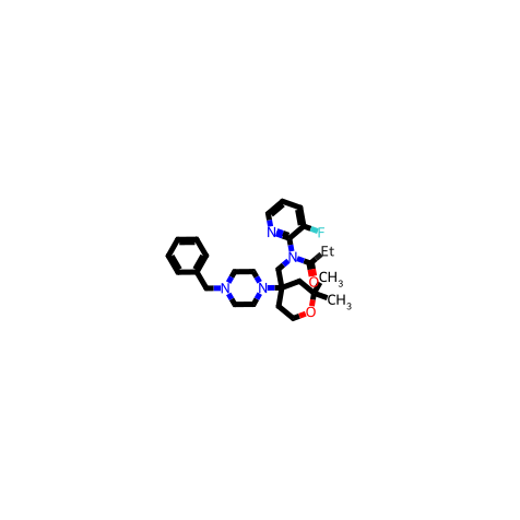 CCC(=O)N(CC1(N2CCN(Cc3ccccc3)CC2)CCOC(C)(C)C1)c1ncccc1F